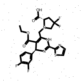 CCOC(=O)C1=C(CN2CC(F)(F)C[C@H]2C(=O)O)NC(c2nccs2)=N[C@H]1c1ccc(F)c(F)c1